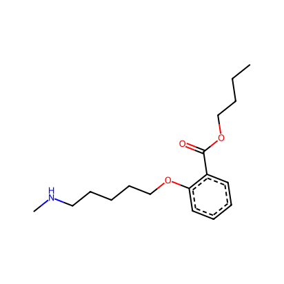 CCCCOC(=O)c1ccccc1OCCCCCNC